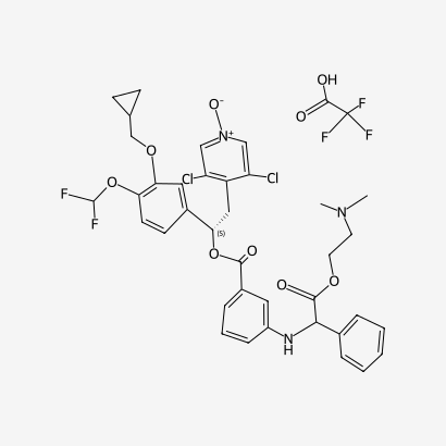 CN(C)CCOC(=O)C(Nc1cccc(C(=O)O[C@@H](Cc2c(Cl)c[n+]([O-])cc2Cl)c2ccc(OC(F)F)c(OCC3CC3)c2)c1)c1ccccc1.O=C(O)C(F)(F)F